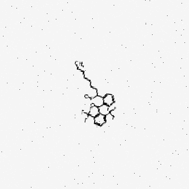 CCCCCCCC(P=O)c1ccccc1C(=O)c1c(C(F)(F)F)cccc1C(F)(F)F